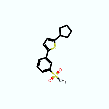 CS(=O)(=O)c1cccc(-c2ccc(C3CCCC3)s2)c1